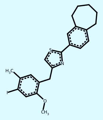 COc1cc(I)c(C)cc1Cc1csc(-c2ccc3c(c2)CCCCC3)n1